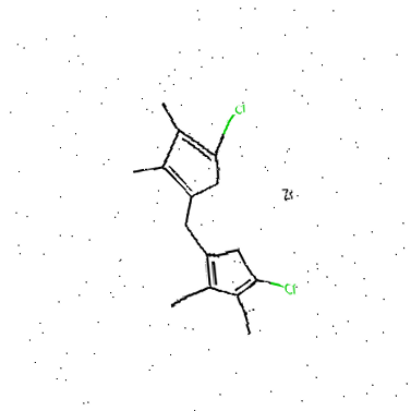 CC1=C(Cl)CC(CC2=C(C)C(C)=C(Cl)C2)=C1C.[Zr]